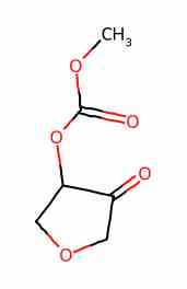 COC(=O)OC1COCC1=O